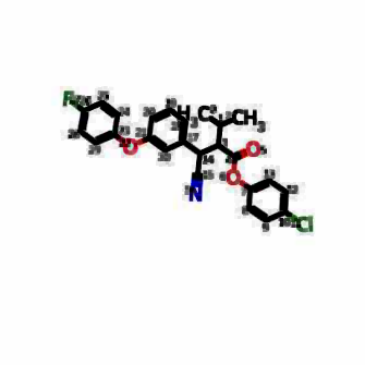 CC(C)C(C(=O)Oc1ccc(Cl)cc1)C(C#N)c1cccc(Oc2ccc(F)cc2)c1